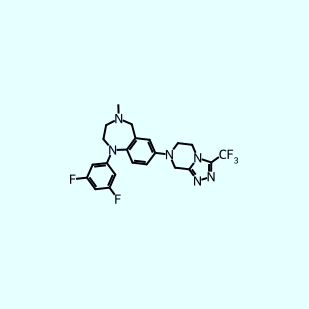 CN1CCN(c2cc(F)cc(F)c2)c2ccc(N3CCn4c(nnc4C(F)(F)F)C3)cc2C1